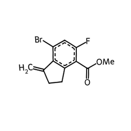 C=C1CCc2c(C(=O)OC)c(F)cc(Br)c21